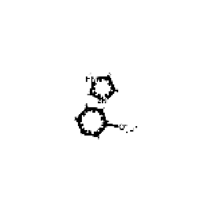 [Li+].[O-]c1ccccc1.c1c[nH]cn1